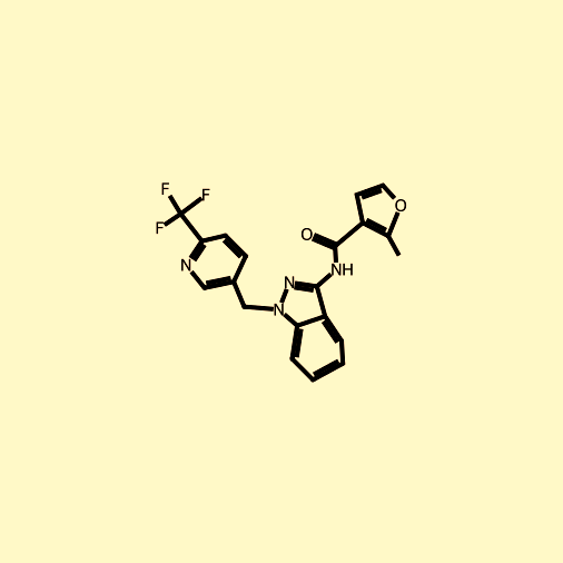 Cc1occc1C(=O)Nc1nn(Cc2ccc(C(F)(F)F)nc2)c2ccccc12